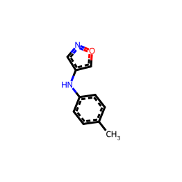 Cc1ccc(Nc2cnoc2)cc1